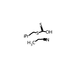 CC(C)CSC(O)=S.CCC#N